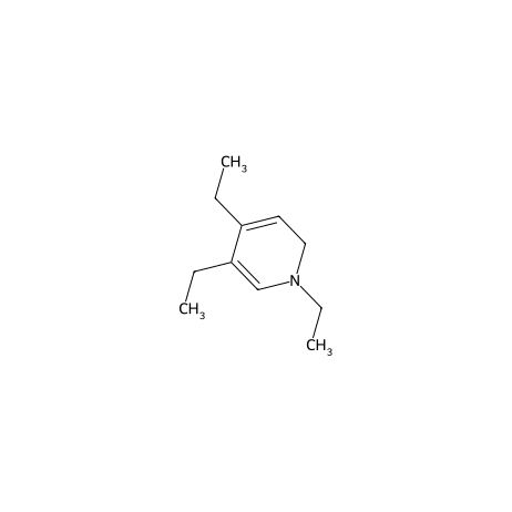 CCC1=CCN(CC)C=C1CC